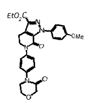 CCOC(=O)c1nn(-c2ccc(OC)cc2)c2c1CCN(c1ccc(N3CCOCC3=O)cc1)C2=O